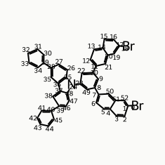 Brc1ccc2ccc(-c3cc(-c4ccc5ccc(Br)cc5c4)cc(-n4c5ccc(-c6ccccc6)cc5c5cc(-c6ccccc6)ccc54)c3)cc2c1